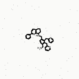 NCc1ccc(CNC2CCCc3ccc(-c4ccccc4)nc32)c(Cc2ccccn2)c1Cc1ccccn1